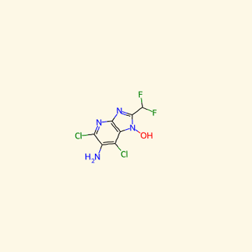 Nc1c(Cl)nc2nc(C(F)F)n(O)c2c1Cl